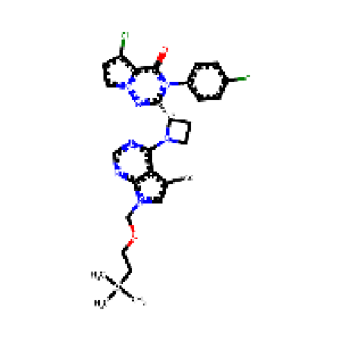 CC(=O)c1cn(COCC[Si](C)(C)C)c2ncnc(N3CC[C@H]3c3nn4ccc(Cl)c4c(=O)n3-c3ccc(F)cc3)c12